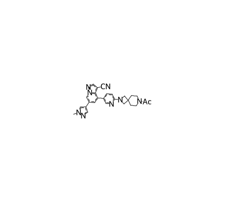 CC(=O)N1CCC2(CC1)CN(c1ccc(-c3cc(-c4cnn(C)c4)cn4ncc(C#N)c34)cn1)C2